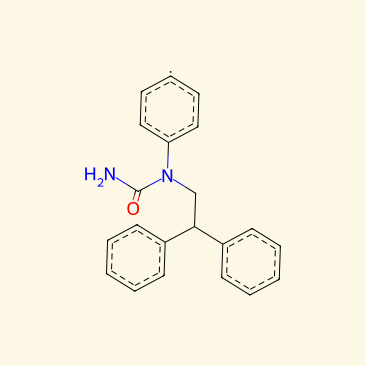 NC(=O)N(CC(c1ccccc1)c1ccccc1)c1cc[c]cc1